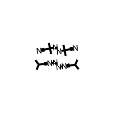 CC(C)(C#N)N=NC(C)(C)C#N.CC(C)C#[N+]N=N[N+]#CC(C)C